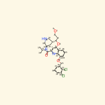 COCCCOc1cc(C(=O)N(C(C)C)[C@@H]2CCCNC2)nc2c(OCc3cccc(Cl)c3Cl)cccc12